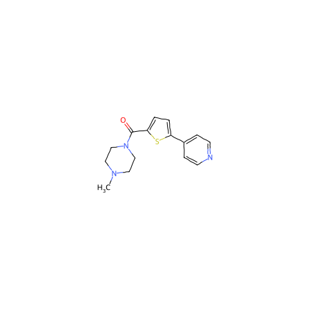 CN1CCN(C(=O)c2ccc(-c3ccncc3)s2)CC1